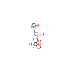 Cc1ccc(=O)n(CCN2CCC(CNC(=O)c3cc(Cl)c(C)c4c3OCCCO4)C(O)C2)n1